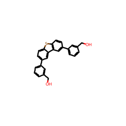 OCc1cccc(-c2ccc3sc4ccc(-c5cccc(CO)c5)cc4c3c2)c1